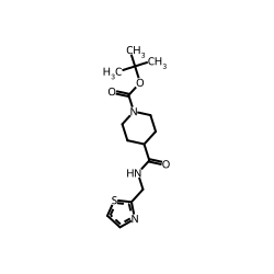 CC(C)(C)OC(=O)N1CCC(C(=O)NCc2nccs2)CC1